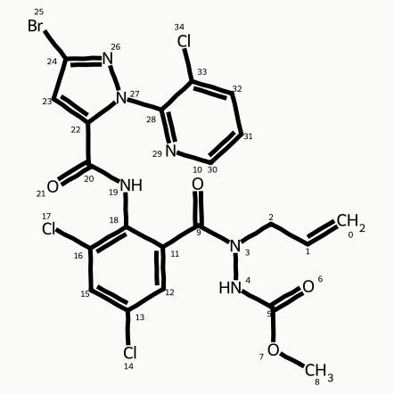 C=CCN(NC(=O)OC)C(=O)c1cc(Cl)cc(Cl)c1NC(=O)c1cc(Br)nn1-c1ncccc1Cl